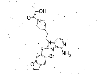 C[C@H](O)C(=O)N1CCC(CCn2c(Sc3cc4c(cc3Br)CCO4)nc3c(N)nccc32)CC1